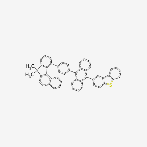 CC1(C)c2cccc(-c3ccc(-c4c5ccccc5c(-c5ccc6sc7ccccc7c6c5)c5ccccc45)cc3)c2-c2c1ccc1ccccc21